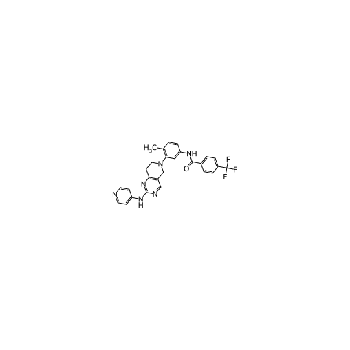 Cc1ccc(NC(=O)c2ccc(C(F)(F)F)cc2)cc1N1CCc2nc(Nc3ccncc3)ncc2C1